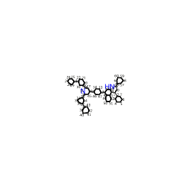 C1=C(c2ccccc2)c2c(cc(-c3ccc(-c4cc(-c5cccc(-c6ccccc6)c5)nc(-c5cccc(-c6ccccc6)c5)c4)cc3)c3ccccc23)NC1c1ccccc1